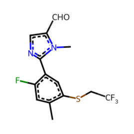 Cc1cc(F)c(-c2ncc(C=O)n2C)cc1SCC(F)(F)F